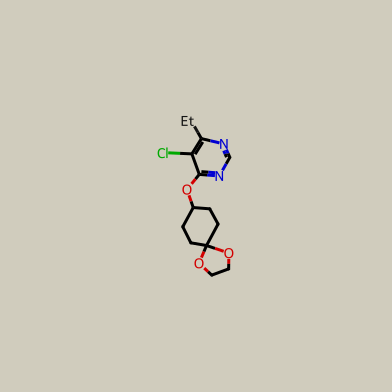 CCc1ncnc(OC2CCC3(CC2)OCCO3)c1Cl